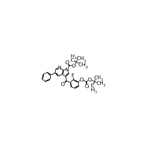 CC(C)(C)OC(=O)Oc1cccc(C(=O)c2cn(C(=O)OC(C)(C)C)c3ncc(-c4ccccc4)cc23)c1F